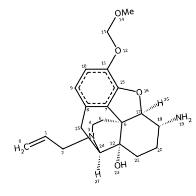 C=CCN1CC[C@]23c4c5ccc(OCOC)c4O[C@H]2[C@H](N)CC[C@@]3(O)[C@H]1C5